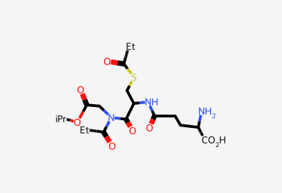 CCC(=O)SCC(NC(=O)CCC(N)C(=O)O)C(=O)N(CC(=O)OC(C)C)C(=O)CC